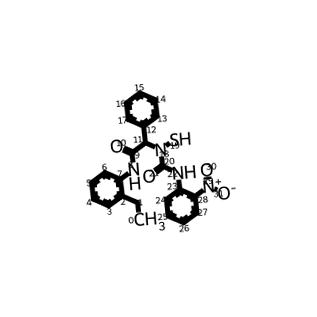 CCc1ccccc1NC(=O)C(c1ccccc1)N(S)C(=O)Nc1ccccc1[N+](=O)[O-]